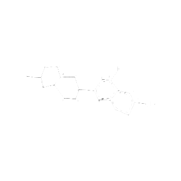 CC1CCC2CC(c3cc(F)c4cc(Cl)ccc4c3)CCC2C1